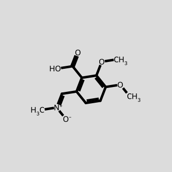 COc1ccc(C=[N+](C)[O-])c(C(=O)O)c1OC